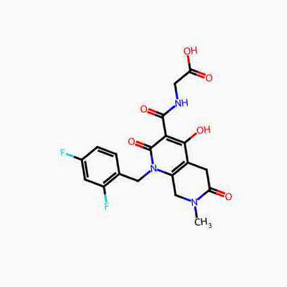 CN1Cc2c(c(O)c(C(=O)NCC(=O)O)c(=O)n2Cc2ccc(F)cc2F)CC1=O